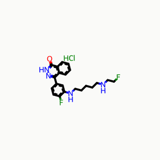 Cl.O=c1[nH]nc(-c2ccc(F)c(NCCCCCNCCF)c2)c2ccccc12